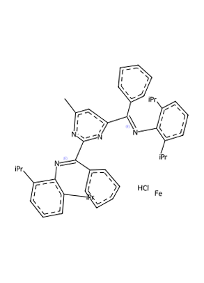 Cc1cc(/C(=N/c2c(C(C)C)cccc2C(C)C)c2ccccc2)nc(/C(=N/c2c(C(C)C)cccc2C(C)C)c2ccccc2)n1.Cl.[Fe]